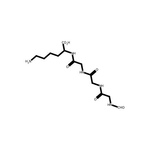 NCCCCC(NC(=O)CNC(=O)CNC(=O)CNC=O)C(=O)O